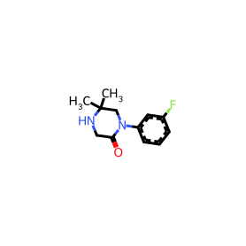 CC1(C)CN(c2cccc(F)c2)C(=O)CN1